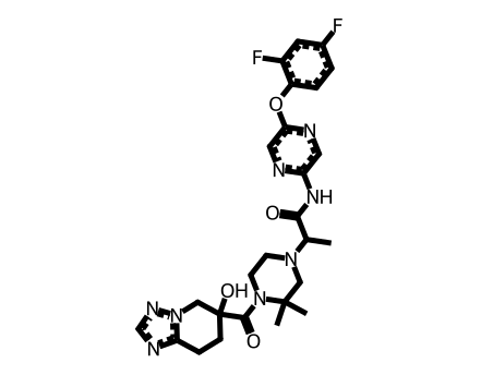 CC(C(=O)Nc1cnc(Oc2ccc(F)cc2F)cn1)N1CCN(C(=O)C2(O)CCc3ncnn3C2)C(C)(C)C1